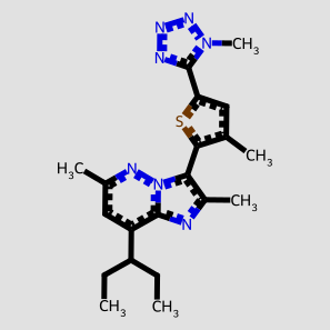 CCC(CC)c1cc(C)nn2c(-c3sc(-c4nnnn4C)cc3C)c(C)nc12